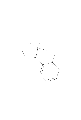 CC1(C)CCOC1c1ccccc1Br